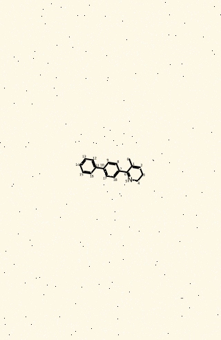 CC1=CCCN=C1c1ccc(-c2ccccc2)cc1